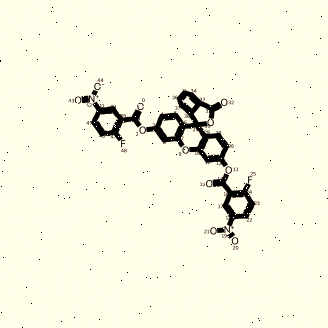 O=C(Oc1ccc2c(c1)Oc1cc(OC(=O)c3cc([N+](=O)[O-])ccc3F)ccc1C21OC(=O)c2ccccc21)c1cc([N+](=O)[O-])ccc1F